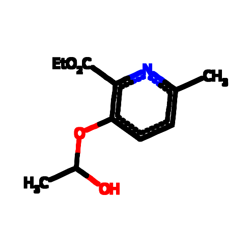 CCOC(=O)c1nc(C)ccc1OC(C)O